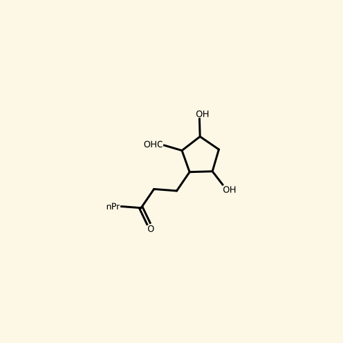 CCCC(=O)CCC1C(O)CC(O)C1C=O